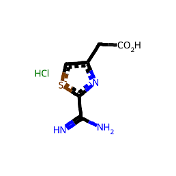 Cl.N=C(N)c1nc(CC(=O)O)cs1